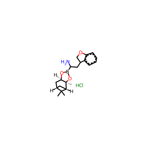 CC1(C)[C@@H]2C[C@H]3OB(C(N)CC4COc5ccccc54)O[C@@]3(C)[C@H]1C2.Cl